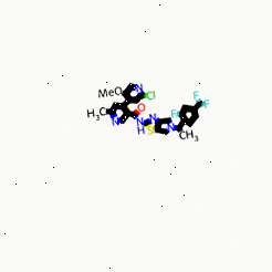 COc1cnc(Cl)cc1-c1cc(C)ncc1C(=O)Nc1nc2c(s1)CN(C(C)c1ccc(C(F)F)cc1F)C2